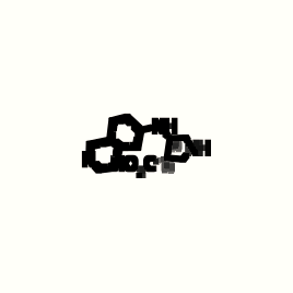 O=C(O)[C@H]1CNC[C@@H]1Nc1ccc2cnccc2c1